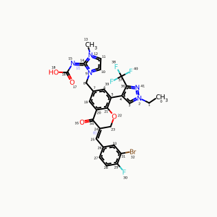 CCn1cc(-c2cc(Cn3ccn(C)/c3=N/C(=O)O)cc3c2OC/C(=C\c2ccc(F)c(Br)c2)C3=O)c(C(F)(F)F)n1